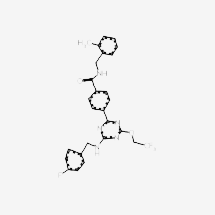 Cc1ccccc1CNC(=O)c1ccc(-c2nc(NCc3ccc(F)cc3)nc(OCC(F)(F)F)n2)cc1